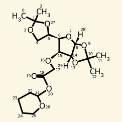 CC1(C)OCC([C@H]2O[C@@H]3OC(C)(C)O[C@@H]3[C@H]2OCC(=O)OC2CCCCO2)O1